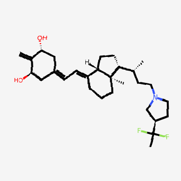 C=C1[C@H](O)CC(=C/C=C2\CCC[C@]3(C)[C@@H]([C@H](C)CCN4CC[C@@H](C(C)(F)F)C4)CC[C@@H]23)C[C@H]1O